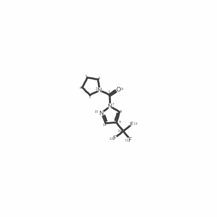 O=C(N1CCCC1)n1cc(C(F)(F)F)cn1